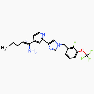 CCC/C=C(\N)c1ccnc(-c2cn(Cc3cccc(OC(F)(F)F)c3F)cn2)c1